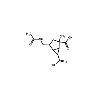 CC(=O)NCC1CC(N)(C(=O)O)C2C(C(=O)O)C12